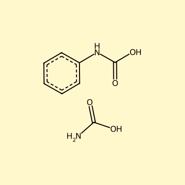 NC(=O)O.O=C(O)Nc1ccccc1